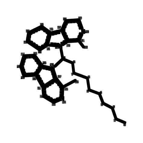 CCCCCCCCCC(n1c2ccccc2c2ccnc(C)c21)n1c2ccccc2c2ccnc(C)c21